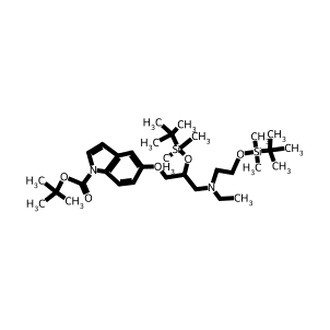 CCN(CCO[Si](C)(C)C(C)(C)C)CC(COc1ccc2c(ccn2C(=O)OC(C)(C)C)c1)O[Si](C)(C)C(C)(C)C